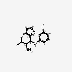 CC(C)C(N)C(Oc1cccc(F)c1)c1ccco1